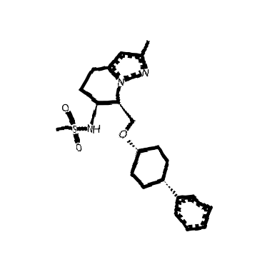 Cc1cc2n(n1)[C@@H](CO[C@H]1CC[C@@H](c3ccccc3)CC1)[C@@H](NS(C)(=O)=O)CC2